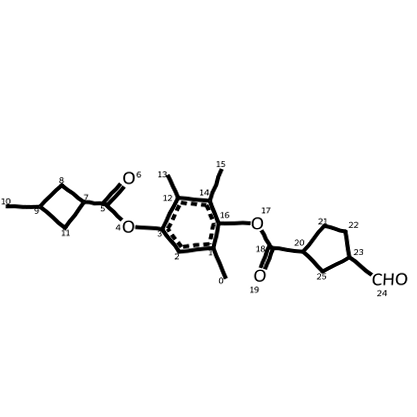 Cc1cc(OC(=O)C2CC(C)C2)c(C)c(C)c1OC(=O)C1CCC(C=O)C1